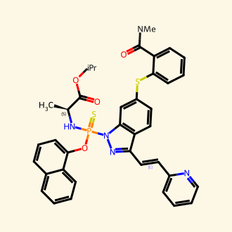 CNC(=O)c1ccccc1Sc1ccc2c(/C=C/c3ccccn3)nn(P(=S)(N[C@@H](C)C(=O)OC(C)C)Oc3cccc4ccccc34)c2c1